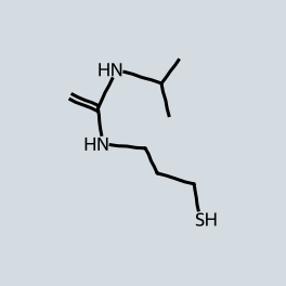 C=C(NCCCS)NC(C)C